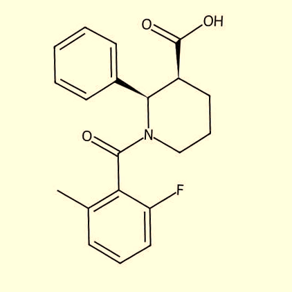 Cc1cccc(F)c1C(=O)N1CCC[C@H](C(=O)O)[C@@H]1c1ccccc1